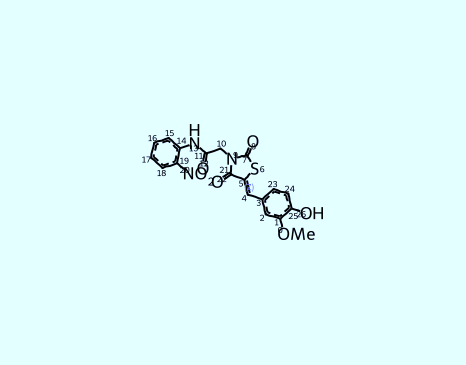 COc1cc(/C=C2\SC(=O)N(CC(=O)Nc3ccccc3[N+](=O)[O-])C2=O)ccc1O